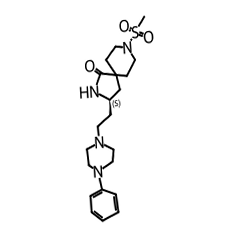 CS(=O)(=O)N1CCC2(CC1)C[C@@H](CCN1CCN(c3ccccc3)CC1)NC2=O